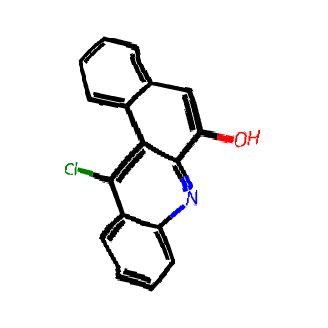 Oc1cc2ccccc2c2c(Cl)c3ccccc3nc12